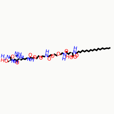 CCCCCCCCCCCCCCCCCC(=O)N[C@@H](CCC(=O)NCCOCCOCC(=O)NCCOCCOCC(=O)NCCCC[C@H](NCN)C(=O)CN[C@@H](CO)C(N)=O)C(=O)O